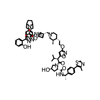 Cc1ncsc1-c1ccc([C@H](C)NC(=O)[C@@H]2C[C@@H](O)CN2C(=O)[C@H](c2cc(OCC[C@H]3CCN(C[C@H]4C[C@H](Oc5cc(N6C7CCC6CN(c6cc(-c8ccccc8O)nnc6N)C7)ccn5)C4)C[C@@H]3C)no2)C(C)C)cc1